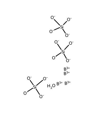 O.[B+3].[B+3].[B+3].[B+3].[O-][Si]([O-])([O-])[O-].[O-][Si]([O-])([O-])[O-].[O-][Si]([O-])([O-])[O-]